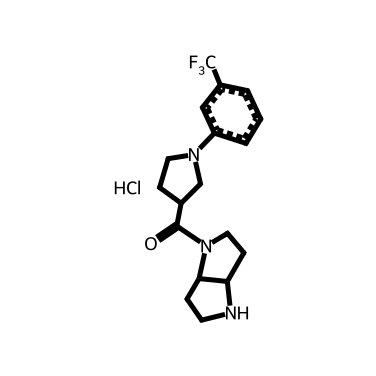 Cl.O=C(C1CCN(c2cccc(C(F)(F)F)c2)C1)N1CCC2NCCC21